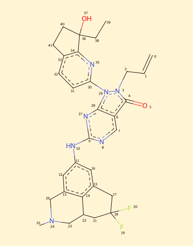 C=CCn1c(=O)c2cnc(Nc3cc4c5c(c3)CC(F)(F)CC5CN(C)C4)nc2n1-c1ccc2c(n1)C(O)(CC)CC2